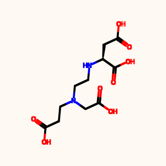 O=C(O)CCN(CCN[C@@H](CC(=O)O)C(=O)O)CC(=O)O